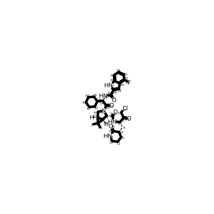 CC1(C)[C@@H]2[C@@H](C(=O)N[C@@H](C[C@@H]3CCCNC3=O)C(=O)CCl)N(C(=O)[C@@H](NC(=O)c3cc4c(F)cccc4[nH]3)C3CCCCC3)C[C@@H]21